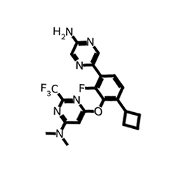 CN(C)c1cc(Oc2c(C3CCC3)ccc(-c3cnc(N)cn3)c2F)nc(C(F)(F)F)n1